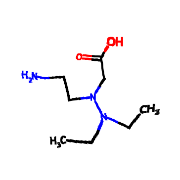 CCN(CC)N(CCN)CC(=O)O